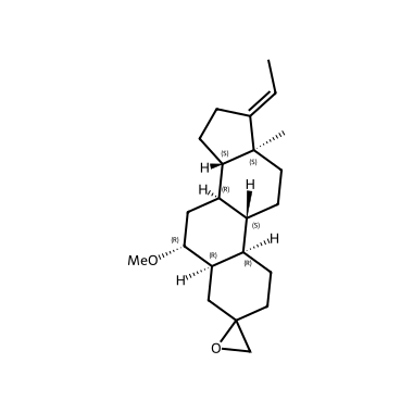 CC=C1CC[C@H]2[C@@H]3C[C@@H](OC)[C@@H]4CC5(CC[C@@H]4[C@H]3CC[C@]12C)CO5